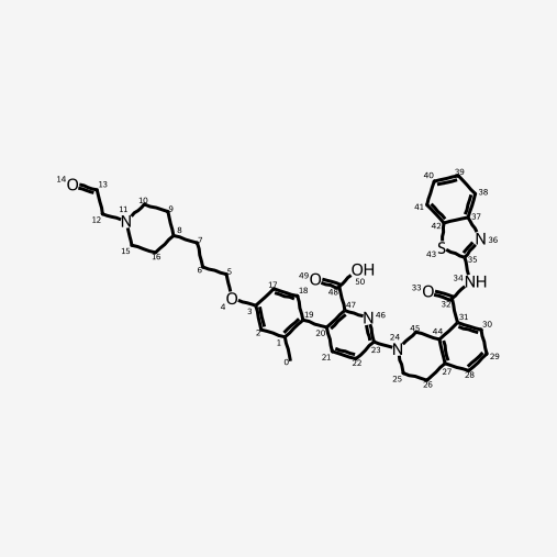 Cc1cc(OCCCC2CCN(CC=O)CC2)ccc1-c1ccc(N2CCc3cccc(C(=O)Nc4nc5ccccc5s4)c3C2)nc1C(=O)O